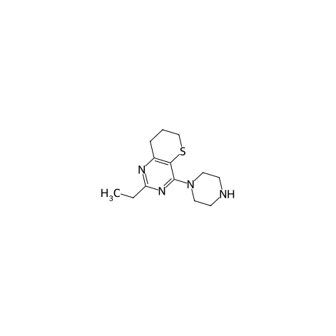 CCc1nc2c(c(N3CCNCC3)n1)SCCC2